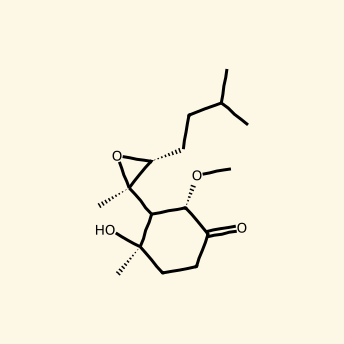 CO[C@@H]1C(=O)CC[C@@](C)(O)C1[C@@]1(C)O[C@@H]1CCC(C)C